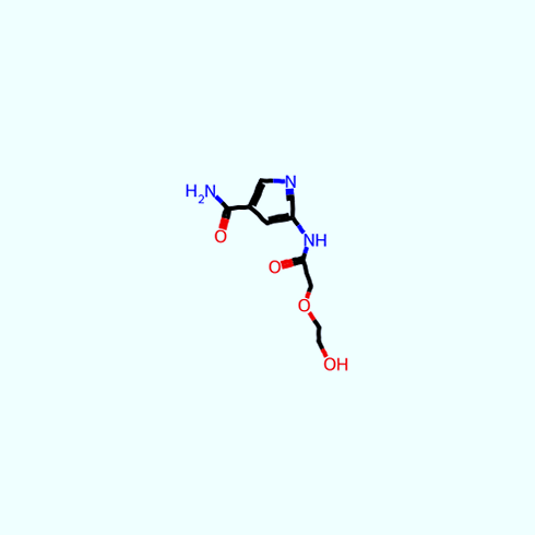 NC(=O)c1cncc(NC(=O)COCCO)c1